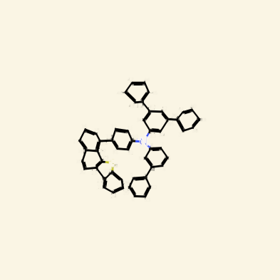 c1ccc(-c2cccc(N(c3ccc(-c4cccc5ccc6c7ccccc7sc6c45)cc3)c3cc(-c4ccccc4)cc(-c4ccccc4)c3)c2)cc1